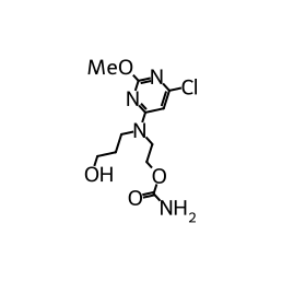 COc1nc(Cl)cc(N(CCCO)CCOC(N)=O)n1